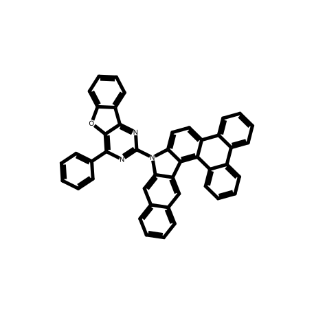 c1ccc(-c2nc(-n3c4cc5ccccc5cc4c4c5c6ccccc6c6ccccc6c5ccc43)nc3c2oc2ccccc23)cc1